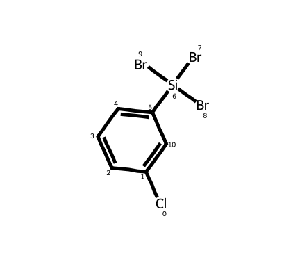 Clc1cccc([Si](Br)(Br)Br)c1